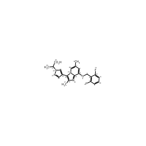 Cc1cc(OCc2c(F)cccc2F)c2nc(C)c(-c3cnn(C(C)C(=O)O)c3)n2c1